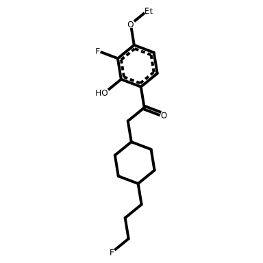 CCOc1ccc(C(=O)CC2CCC(CCCF)CC2)c(O)c1F